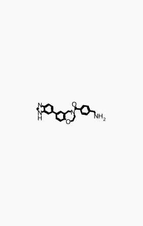 NCc1ccc(C(=O)N2CCOc3ccc(-c4ccc5nc[nH]c5c4)cc3C2)cc1